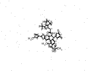 Cn1cc(-c2nc3nc(C(Cc4cc(F)cc(F)c4)NC(=O)Cn4nc(C(F)(F)F)c5c4C(F)(F)C4C[C@H]54)c(-c4cccc5c(NS(C)(=O)=O)nn(C)c45)cc3s2)cn1